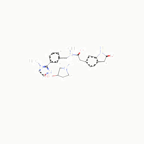 CN(C(=O)Cc1ccc2c(c1)NC(=O)C2)[C@H](CN1CCC(O)C1)c1cccc(-c2nccn2C)c1